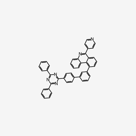 c1ccc(-c2nc(-c3ccccc3)nc(-c3ccc(-c4cccc(-c5cccc6c(-c7ccncc7)nc7ccccc7c56)c4)cc3)n2)cc1